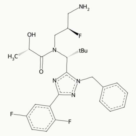 C[C@H](O)C(=O)N(C[C@H](F)CN)[C@@H](c1nc(-c2cc(F)ccc2F)nn1Cc1ccccc1)C(C)(C)C